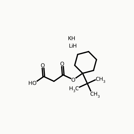 CC(C)(C)C1(OC(=O)CC(=O)O)CCCCC1.[KH].[LiH]